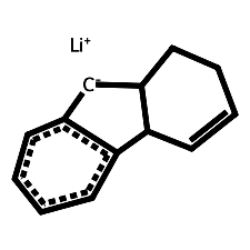 C1=CC2c3ccccc3[CH-]C2CC1.[Li+]